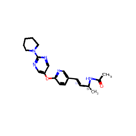 CC(=O)N[C@@H](C)/C=C/c1ccc(Oc2cnc(N3CCCCC3)nc2)nc1